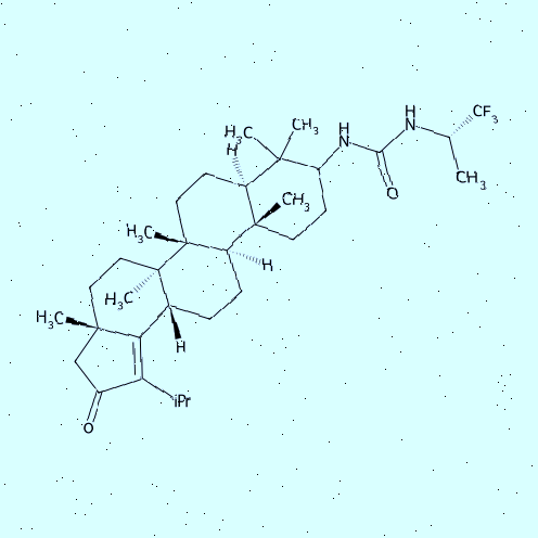 CC(C)C1=C2[C@H]3CC[C@@H]4[C@@]5(C)CCC(NC(=O)N[C@@H](C)C(F)(F)F)C(C)(C)[C@@H]5CC[C@@]4(C)[C@]3(C)CC[C@@]2(C)CC1=O